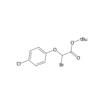 CC(C)(C)OC(=O)C(Br)Oc1ccc(Cl)cc1